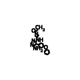 C=CC(=O)N1CC(Nc2ncnc(N)c2-c2ccc(Oc3ccccc3)cc2)C1